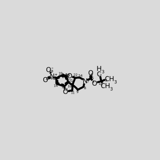 CC(C)(C)OC(=O)N1CCC2(COc3cc([N+](=O)[O-])ccc32)C(O)C1